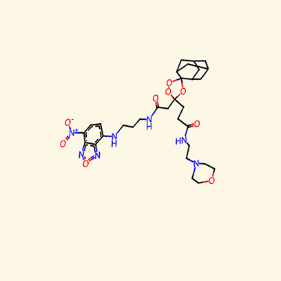 O=C(CCC1(CC(=O)NCCCNc2ccc([N+](=O)[O-])c3nonc23)OOC2(O1)C1CC3CC(C1)CC2C3)NCCN1CCOCC1